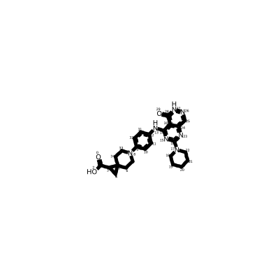 O=C(O)C1CC12CCN(c1ccc(Nc3nc(N4CCCCC4)nc4cn[nH]c(=O)c34)cc1)CC2